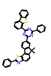 CC1(C)c2cc(-c3nc(-c4ccccc4)nc(-c4cccc5c4sc4ccccc45)n3)ccc2-c2c1ccc1nc(-c3ccccc3)sc21